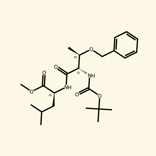 COC(=O)[C@H](CC(C)C)NC(=O)[C@@H](NC(=O)OC(C)(C)C)[C@@H](C)OCc1ccccc1